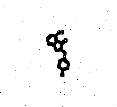 O=C1c2c(O)cccc2CN1Cc1ccc(Cl)cc1